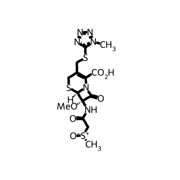 CO[C@@]1(NC(=O)C[S+](C)[O-])C(=O)N2C(C(=O)O)=C(CSc3nnnn3C)CS[C@@H]21